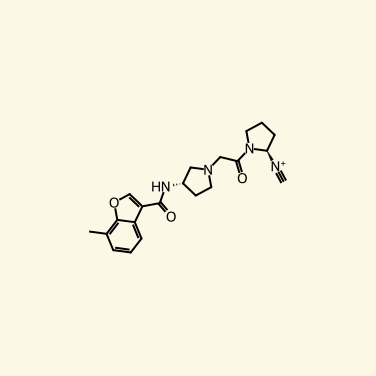 C#[N+][C@@H]1CCCN1C(=O)CN1CC[C@H](NC(=O)c2coc3c(C)cccc23)C1